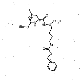 CC(C)(C)OC(=O)N[C@@H](CPI)C(=O)N[C@H](CCCCNC(=O)OCc1ccccc1)C(=O)O